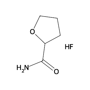 F.NC(=O)C1CCCO1